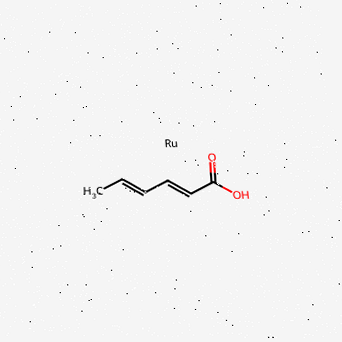 CC=CC=CC(=O)O.[Ru]